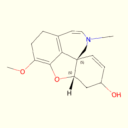 COC1=C2O[C@H]3CC(O)C=C[C@]34CN(C)C=CC(=C24)CC1